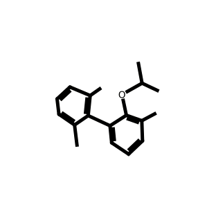 Cc1cccc(-c2c(C)cccc2C)c1OC(C)C